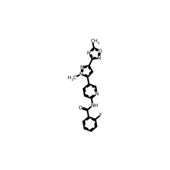 Cc1nc(-c2cc(-c3ccc(NC(=O)c4ccccc4F)nc3)n(C)n2)no1